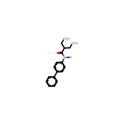 CCN(C(=O)C(CC(=O)O)CC(=O)O)c1ccc(-c2ccccc2)cc1